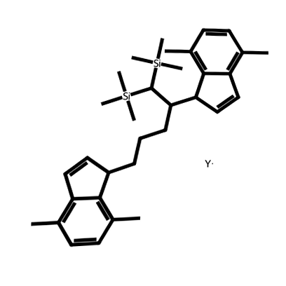 Cc1ccc(C)c2c1C=CC2CCCC(C1C=Cc2c(C)ccc(C)c21)C([Si](C)(C)C)[Si](C)(C)C.[Y]